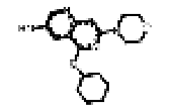 Oc1cnc2cc(N3CCOCC3)nc(OC3CCCCC3)c2c1